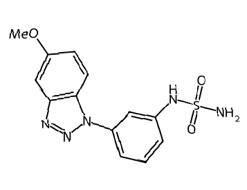 COc1ccc2c(c1)nnn2-c1cccc(NS(N)(=O)=O)c1